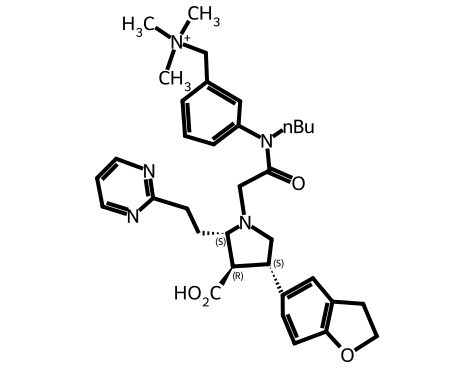 CCCCN(C(=O)CN1C[C@H](c2ccc3c(c2)CCO3)[C@@H](C(=O)O)[C@@H]1CCc1ncccn1)c1cccc(C[N+](C)(C)C)c1